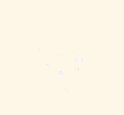 CC(=O)CC(=O)S(N)(=O)=O.CCN(CC)CC